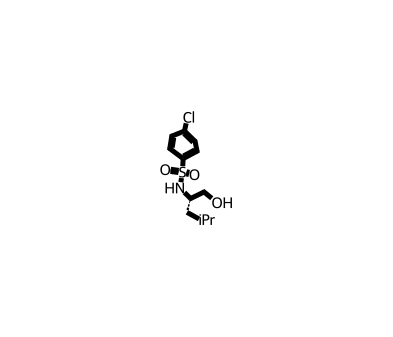 CC(C)C[C@@H](CO)NS(=O)(=O)c1ccc(Cl)cc1